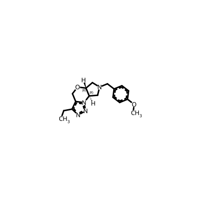 CCc1nnn2c1CO[C@@H]1CN(Cc3ccc(OC)cc3)C[C@H]12